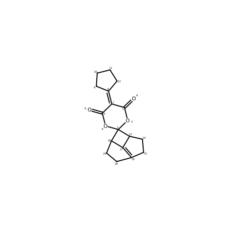 O=C1OC2(OC(=O)C1=C1CCCC1)C1CCC3=C1C2CC3